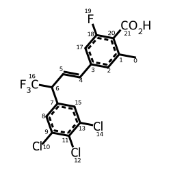 Cc1cc(C=CC(c2cc(Cl)c(Cl)c(Cl)c2)C(F)(F)F)cc(F)c1C(=O)O